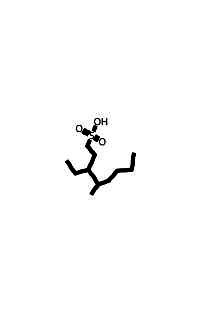 CCCC[C](C)C(CC)CCS(=O)(=O)O